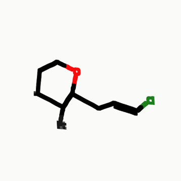 CCC1[C]CCOC1CC=CCl